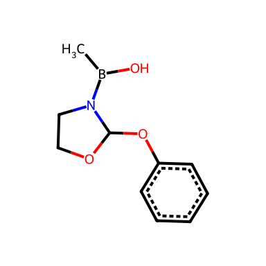 CB(O)N1CCOC1Oc1ccccc1